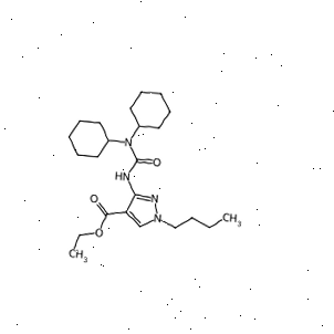 CCCCn1cc(C(=O)OCC)c(NC(=O)N(C2CCCCC2)C2CCCCC2)n1